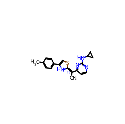 Cc1ccc(C2=CS/C(=C(/C#N)c3ccnc(NC4CC4)n3)N2)cc1